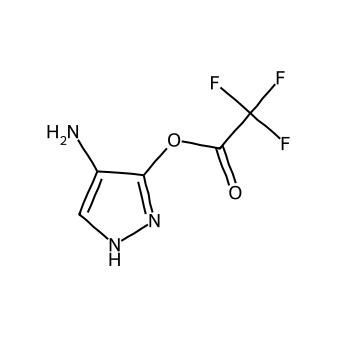 Nc1c[nH]nc1OC(=O)C(F)(F)F